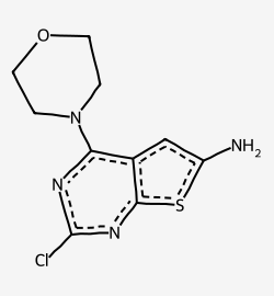 Nc1cc2c(N3CCOCC3)nc(Cl)nc2s1